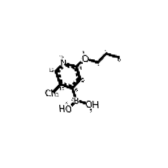 CCCOc1cc(B(O)O)c(Cl)cn1